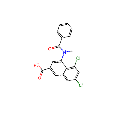 CN(C(=O)c1ccccc1)c1cc(C(=O)O)cc2cc(Cl)cc(Cl)c12